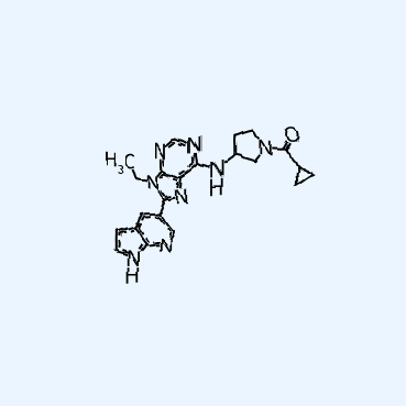 CCn1c(-c2cnc3[nH]ccc3c2)nc2c(NC3CCN(C(=O)C4CC4)C3)ncnc21